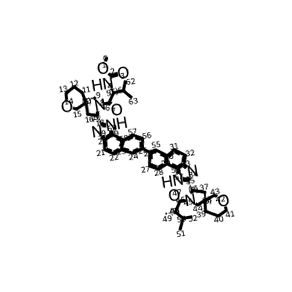 COC(=O)N[C@H](C(=O)N1C[C@]2(CCCOC2)C[C@H]1c1nc2ccc3cc(-c4ccc5c(ccc6nc([C@@H]7C[C@@]8(CCCOC8)CN7C(=O)[C@@H](C)C(C)C)[nH]c65)c4)ccc3c2[nH]1)C(C)C